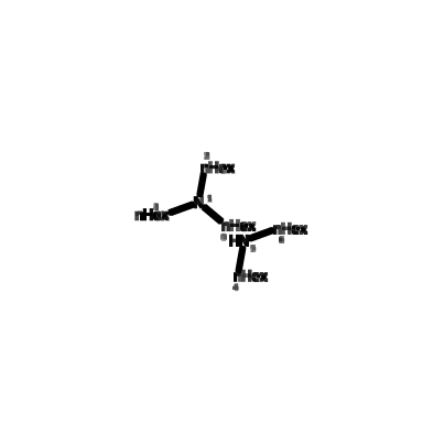 CCCCCCN(CCCCCC)CCCCCC.CCCCCCNCCCCCC